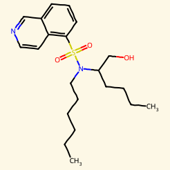 CCCCCCN(C(CO)CCCC)S(=O)(=O)c1cccc2cnccc12